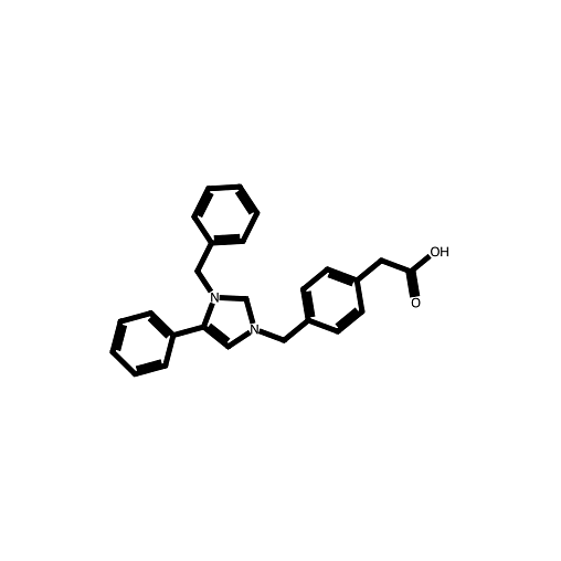 O=C(O)Cc1ccc(CN2C=C(c3ccccc3)N(Cc3ccccc3)C2)cc1